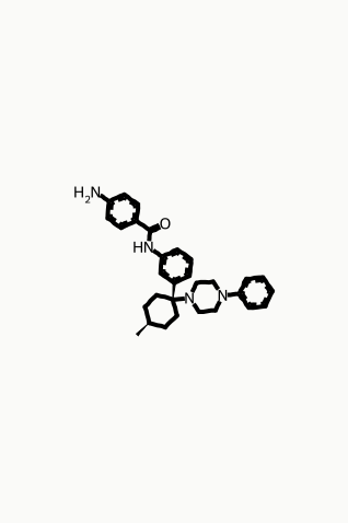 C[C@H]1CC[C@](c2cccc(NC(=O)c3ccc(N)cc3)c2)(N2CCN(c3ccccc3)CC2)CC1